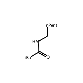 CCCCC[CH2][AlH][C](=O)C(C)CC